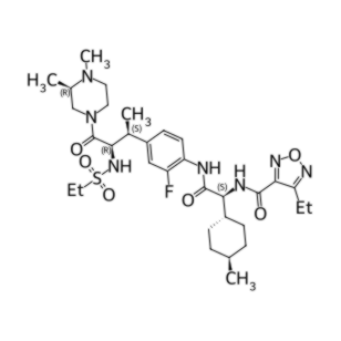 CCc1nonc1C(=O)N[C@H](C(=O)Nc1ccc([C@H](C)[C@@H](NS(=O)(=O)CC)C(=O)N2CCN(C)[C@H](C)C2)cc1F)[C@H]1CC[C@H](C)CC1